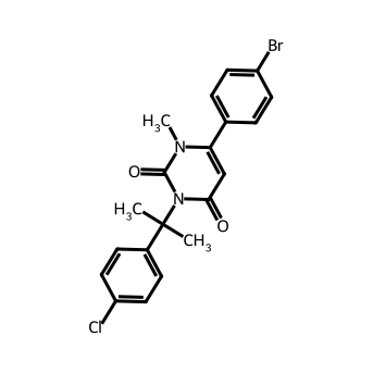 Cn1c(-c2ccc(Br)cc2)cc(=O)n(C(C)(C)c2ccc(Cl)cc2)c1=O